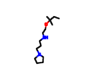 CCC(C)(C)OCCNCCCN1CCCC1